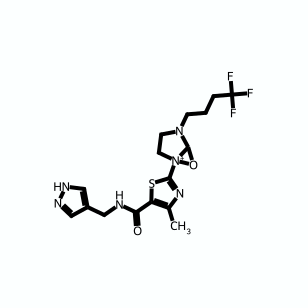 Cc1nc([N+]23CCN(CCCC(F)(F)F)C2O3)sc1C(=O)NCc1cn[nH]c1